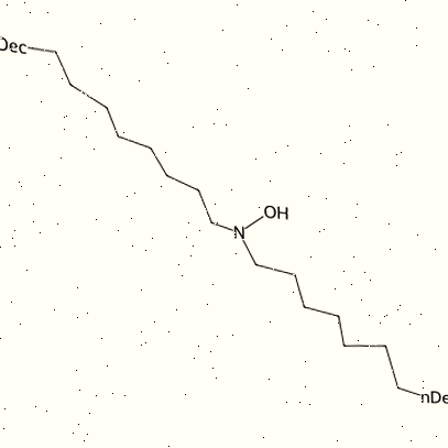 CCCCCCCCCCCCCCCCCCN(O)CCCCCCCCCCCCCCCCC